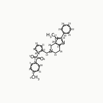 Cc1ccc(S(=O)(=O)n2cccc2CN2CCc3nc(-c4ccccc4)n(C)c3C2)cc1